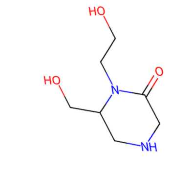 O=C1CNCC(CO)N1CCO